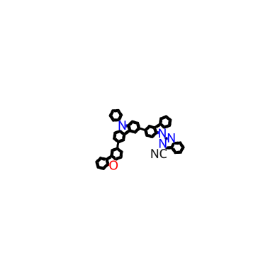 N#Cc1nc(-n2c3ccccc3c3cc(-c4ccc5c(c4)c4cc(-c6ccc7oc8ccccc8c7c6)ccc4n5-c4ccccc4)ccc32)nc2ccccc12